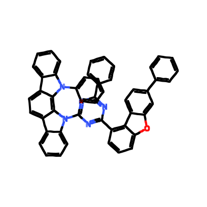 c1ccc(-c2ccc3c(c2)oc2cccc(-c4nc(-c5ccccc5)nc(-n5c6ccccc6c6ccc7c8ccccc8n(-c8ccccc8)c7c65)n4)c23)cc1